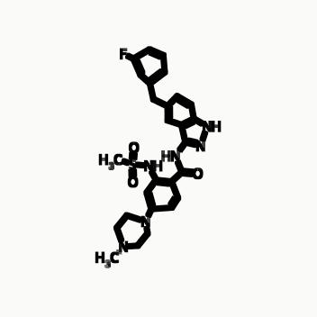 CN1CCN(c2ccc(C(=O)Nc3n[nH]c4ccc(Cc5cccc(F)c5)cc34)c(NS(C)(=O)=O)c2)CC1